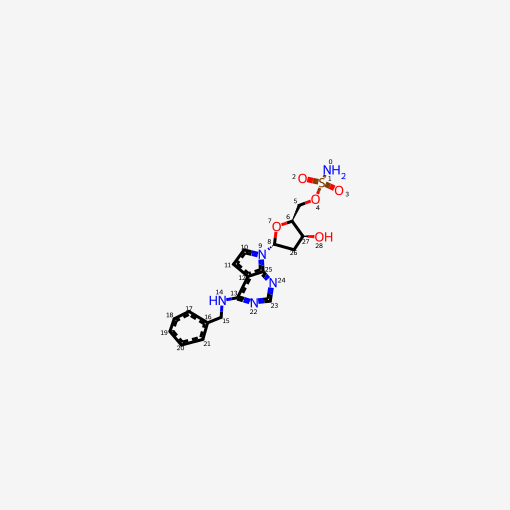 NS(=O)(=O)OC[C@@H]1O[C@@H](n2ccc3c(NCc4ccccc4)ncnc32)C[C@@H]1O